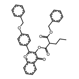 CCCC(C(=O)OCc1ccccc1)C(=O)Oc1c(-c2ccc(OCc3ccccc3)cc2)oc2ccccc2c1=O